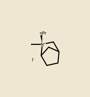 CCC[N@@+]1(C)CC2CCC1C2.[I-]